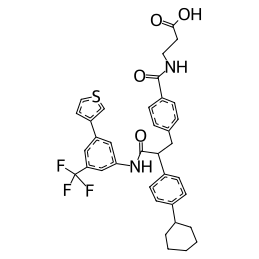 O=C(O)CCNC(=O)c1ccc(CC(C(=O)Nc2cc(-c3ccsc3)cc(C(F)(F)F)c2)c2ccc(C3CCCCC3)cc2)cc1